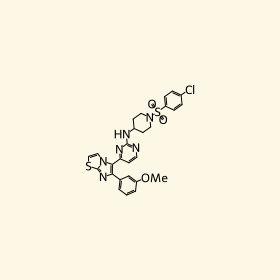 COc1cccc(-c2nc3sccn3c2-c2ccnc(NC3CCN(S(=O)(=O)c4ccc(Cl)cc4)CC3)n2)c1